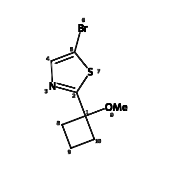 COC1(c2ncc(Br)s2)CCC1